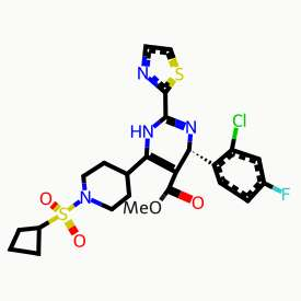 COC(=O)C1=C(C2CCN(S(=O)(=O)C3CCC3)CC2)NC(c2nccs2)=N[C@@H]1c1ccc(F)cc1Cl